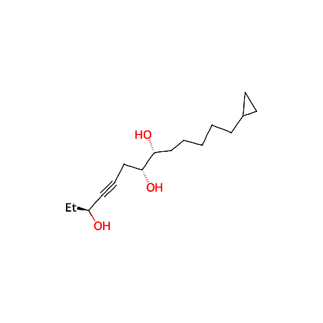 CC[C@H](O)C#CC[C@@H](O)[C@H](O)CCCCCC1CC1